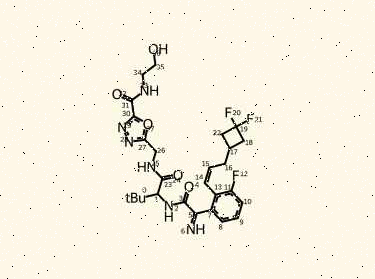 CC(C)(C)C(NC(=O)C(=N)c1cccc(F)c1/C=C\CC1CC(F)(F)C1)C(=O)NCc1nnc(C(=O)NCCO)o1